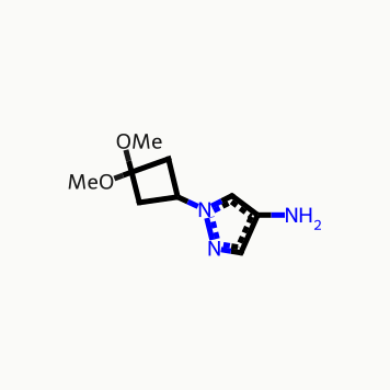 COC1(OC)CC(n2cc(N)cn2)C1